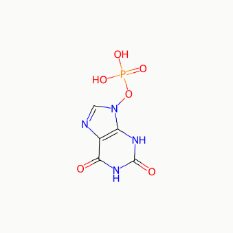 O=c1[nH]c(=O)c2ncn(OP(=O)(O)O)c2[nH]1